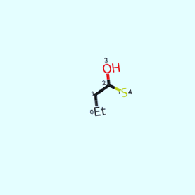 CCCC(O)[S]